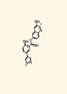 Cn1cc(-c2ccc(=N)n(C(=N)Sc3ccc4ncc(N)cc4c3)c2)cn1